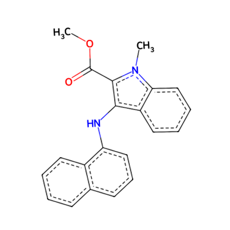 COC(=O)c1c(Nc2cccc3ccccc23)c2ccccc2n1C